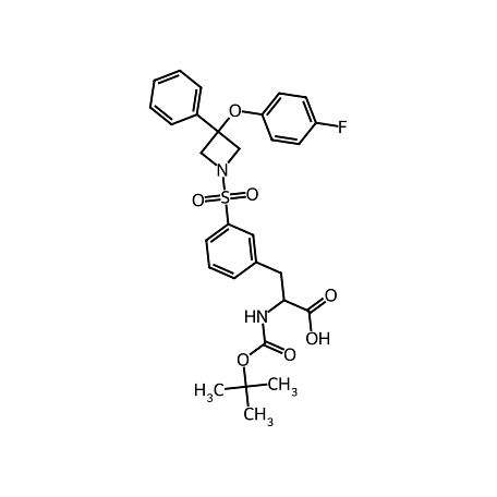 CC(C)(C)OC(=O)NC(Cc1cccc(S(=O)(=O)N2CC(Oc3ccc(F)cc3)(c3ccccc3)C2)c1)C(=O)O